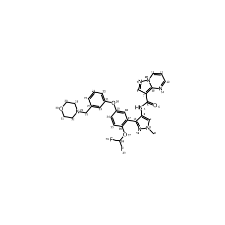 Cn1cc(NC(=O)c2cnn3cccnc23)c(-c2cc(Oc3cccc(CN4CCOCC4)c3)ccc2OC(F)F)n1